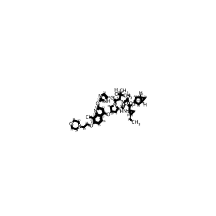 CC[C@@H]1C[C@]1(NC(=O)[C@@H]1C[C@@H](Oc2cc(Oc3ncc[nH]3)nc3c(Cl)c(OCCN4CCOCC4)ccc23)CN1C(=O)[C@@H](NC(=O)O[C@@H]1C[C@@H]2C[C@@H]2C1)C(C)(C)C)C(=O)O